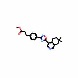 COC(=O)CCc1ccc(-c2noc(-c3cncc4c3CCC(C)(C)C4)n2)cc1